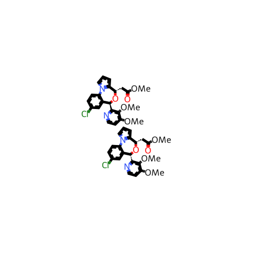 COC(=O)C[C@@H]1O[C@@H](c2nccc(OC)c2OC)c2cc(Cl)ccc2-n2cccc21.COC(=O)C[C@@H]1O[C@H](c2nccc(OC)c2OC)c2cc(Cl)ccc2-n2cccc21